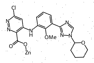 COc1c(Nc2cc(Cl)nnc2C(=O)[O][Zn])cccc1-c1ncn(C2CCCCO2)n1